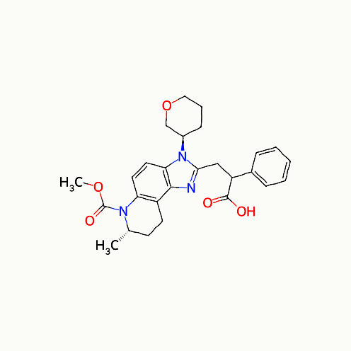 COC(=O)N1c2ccc3c(nc(CC(C(=O)O)c4ccccc4)n3[C@@H]3CCCOC3)c2CC[C@@H]1C